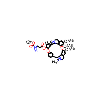 COc1cc2c3cc1Oc1c(OC)c(OC)cc4c1C(Cc1ccc(OC(=O)CCNC(=O)OC(C)(C)C)c(c1)Oc1ccc(cc1)CC3N(C)CC2)N(C)CC4